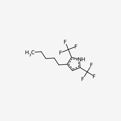 CCCCCc1cc(C(F)(F)F)[nH]c1C(F)(F)F